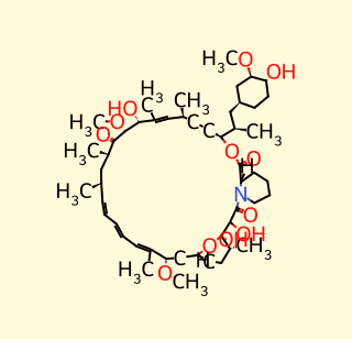 CO[C@H]1C[C@@H]2CC[C@@H](C)[C@@](O)(O2)C(O)C(=O)N2CCCC[C@H]2C(=O)O[C@H]([C@H](C)C[C@@H]2CC[C@@H](O)[C@H](OC)C2)CC[C@H](C)/C=C(\C)[C@@H](O)[C@@H](OC)C(=O)[C@H](C)C[C@H](C)/C=C/C=C/C=C/1C